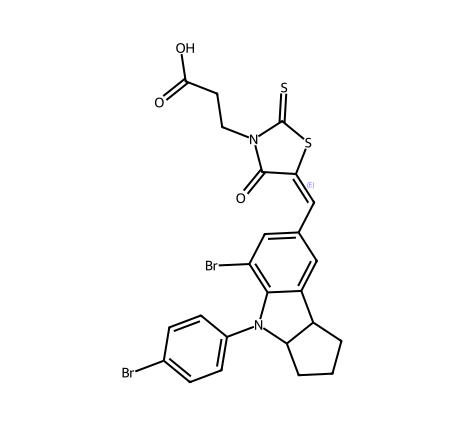 O=C(O)CCN1C(=O)/C(=C\c2cc(Br)c3c(c2)C2CCCC2N3c2ccc(Br)cc2)SC1=S